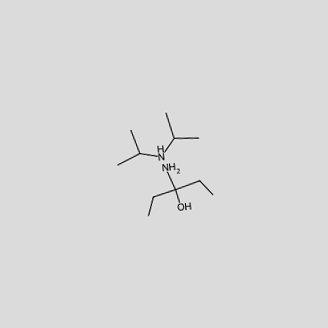 CC(C)NC(C)C.CCC(N)(O)CC